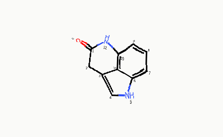 O=C1Cc2c[nH]c3cccc(c23)N1